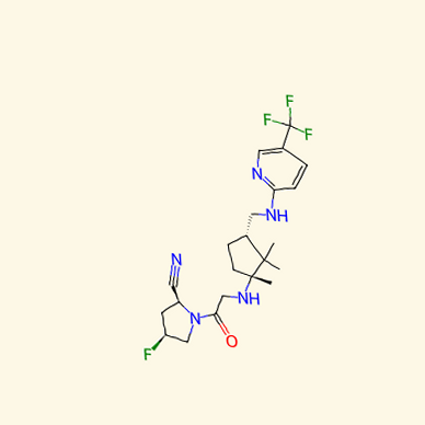 CC1(C)[C@@H](CNc2ccc(C(F)(F)F)cn2)CC[C@@]1(C)NCC(=O)N1C[C@@H](F)C[C@H]1C#N